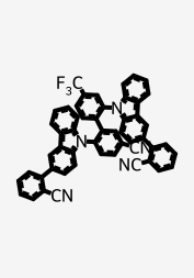 N#Cc1ccc(-n2c3ccccc3c3cc(-c4ccccc4C#N)ccc32)c(-c2ccc(C(F)(F)F)cc2-n2c3ccccc3c3cc(-c4ccccc4C#N)ccc32)c1